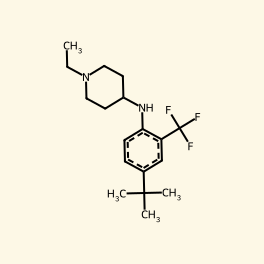 CCN1CCC(Nc2ccc(C(C)(C)C)cc2C(F)(F)F)CC1